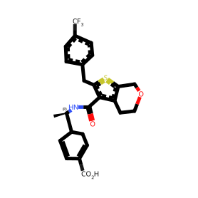 C[C@@H](NC(=O)c1c(Cc2ccc(C(F)(F)F)cc2)sc2c1CCOC2)C1C=CC(C(=O)O)=CC1